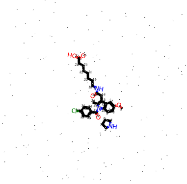 C1CCNC1.COc1ccc2c(c1)c(CC(=O)NCCCCCCCC(=O)O)c(C)n2C(=O)c1ccc(Cl)cc1